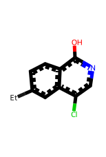 CCc1ccc2c(O)ncc(Cl)c2c1